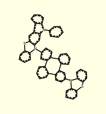 c1ccc(-n2c3ccccc3c3cc4c(cc32)N(c2ccc3c(c2)-c2ccccc2-c2ccc(N5c6ccccc6Sc6ccccc65)cc2-c2ccccc2-3)c2ccccc2S4)cc1